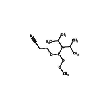 COOP(OCCC#N)N(C(C)C)C(C)C